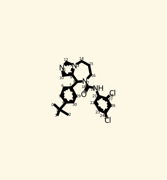 CC(C)(C)c1ccc(C2c3cncn3CCCN2C(=O)Nc2ccc(Cl)cc2Cl)cc1